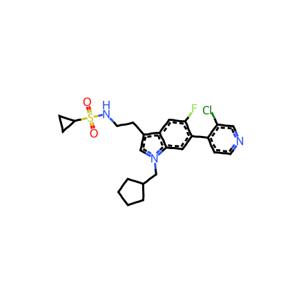 O=S(=O)(NCCc1cn(CC2CCCC2)c2cc(-c3ccncc3Cl)c(F)cc12)C1CC1